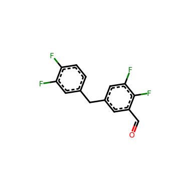 O=Cc1cc(Cc2ccc(F)c(F)c2)cc(F)c1F